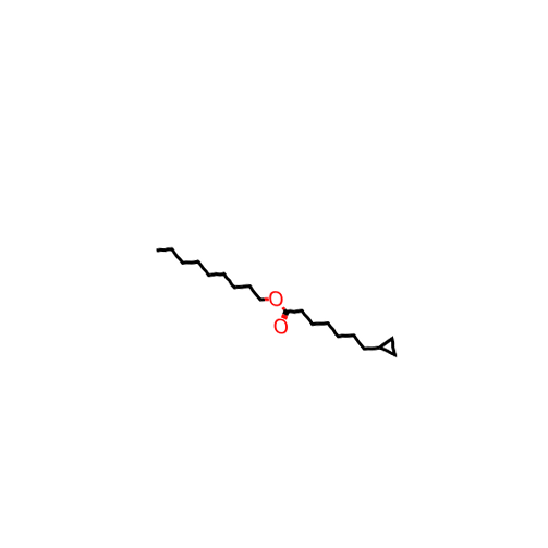 CCCCCCCCCOC(=O)CCCCCCC1CC1